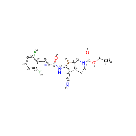 CCOC(=O)N1CCc2c(sc(NC(=O)/C=C/c3c(F)cccc3F)c2C#N)C1